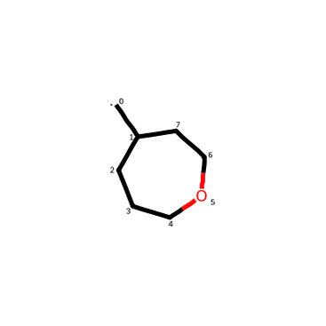 [CH2]C1CCCOCC1